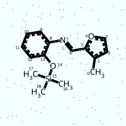 Cc1ccoc1/C=N/c1ccccc1O[Si](C)(C)C